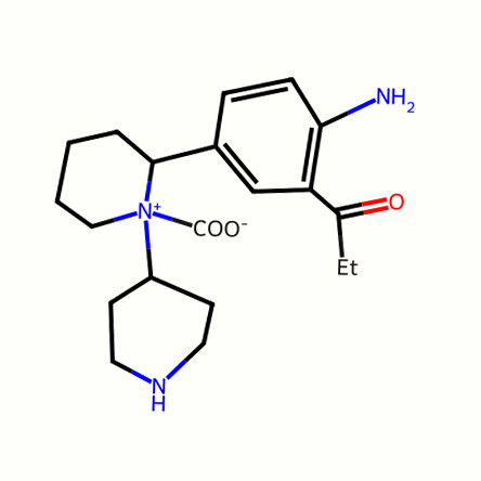 CCC(=O)c1cc(C2CCCC[N+]2(C(=O)[O-])C2CCNCC2)ccc1N